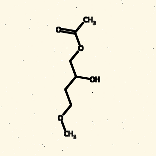 COCCC(O)COC(C)=O